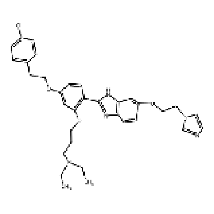 CCN(CC)CCCOc1cc(OCCc2ccc(Cl)cc2)ccc1-c1nc2ccc(OCCn3ccnc3)cc2[nH]1